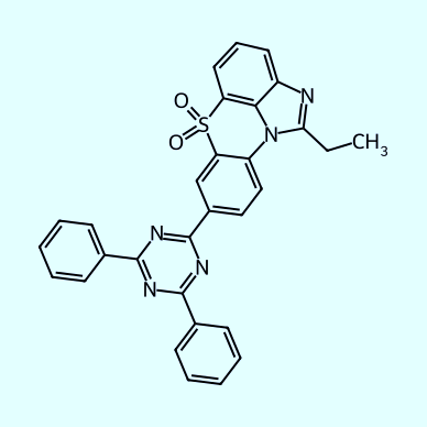 CCc1nc2cccc3c2n1-c1ccc(-c2nc(-c4ccccc4)nc(-c4ccccc4)n2)cc1S3(=O)=O